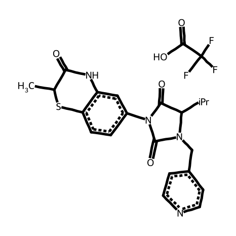 CC1Sc2ccc(N3C(=O)C(C(C)C)N(Cc4ccncc4)C3=O)cc2NC1=O.O=C(O)C(F)(F)F